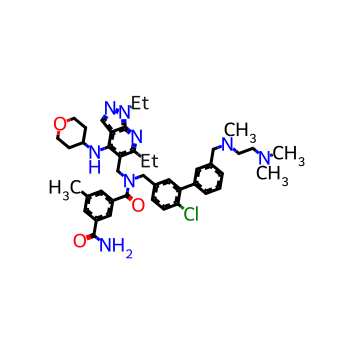 CCc1nc2c(cnn2CC)c(NC2CCOCC2)c1CN(Cc1ccc(Cl)c(-c2cccc(CN(C)CCN(C)C)c2)c1)C(=O)c1cc(C)cc(C(N)=O)c1